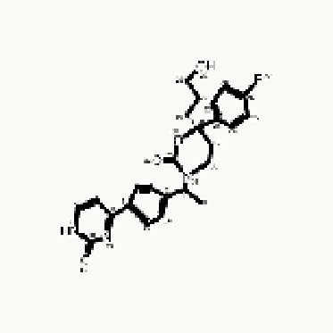 CC(c1ccc(-c2cc[nH]c(=O)n2)cc1)N1CC[C@](CCCO)(c2ccc(F)cc2)OC1=O